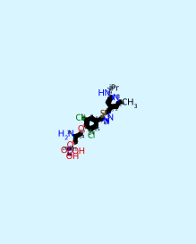 Cc1cc(-c2nnc(-c3cc(Cl)c(OC[C@H](N)COP(=O)(O)O)c(Cl)c3)s2)cc(NC(C)C)n1